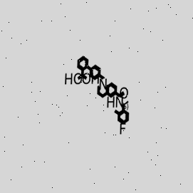 Cc1cc(F)ccc1[C@H](C)NC(=O)c1ccc2c(c1)CCCN2Cc1ccc(-c2ccccc2C(O)O)cc1